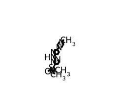 Cc1c(-c2ccnc(Nc3ccc(N4CCN(C)CC4)cn3)n2)sc(=O)n1C